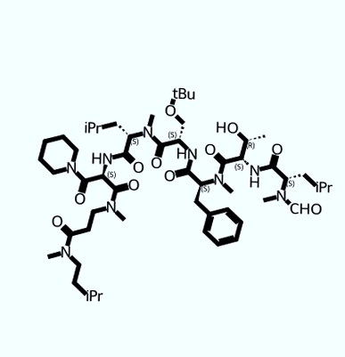 CC(C)CCN(C)C(=O)CCN(C)C(=O)[C@H](NC(=O)[C@H](CC(C)C)N(C)C(=O)[C@H](COC(C)(C)C)NC(=O)[C@H](Cc1ccccc1)N(C)C(=O)[C@@H](NC(=O)[C@H](CC(C)C)N(C)C=O)[C@@H](C)O)C(=O)N1CCCCC1